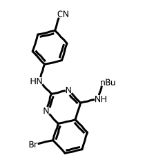 CCCCNc1nc(Nc2ccc(C#N)cc2)nc2c(Br)cccc12